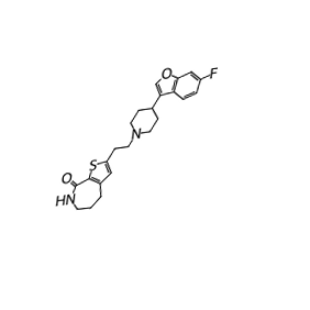 O=C1NCCCc2cc(CCN3CCC(c4coc5cc(F)ccc45)CC3)sc21